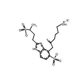 CCCCCCCCCCCCCCC(=S)Cc1c(S(=O)(=O)[O-])ccc2[nH]c(CCC(C)S(=O)(=O)[O-])nc12.[K+].[K+]